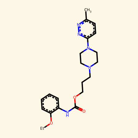 CCOc1ccccc1NC(=O)OCCCN1CCN(c2ccc(C)nn2)CC1